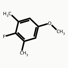 COc1cc(C)c(F)c(C)c1